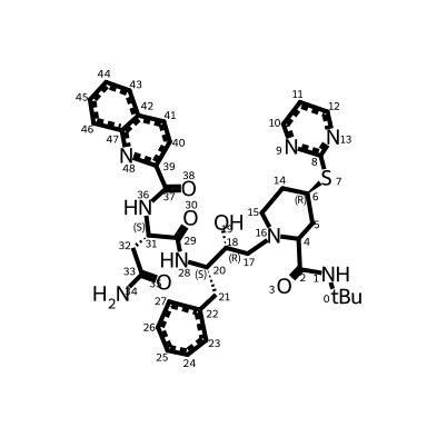 CC(C)(C)NC(=O)C1C[C@H](Sc2ncccn2)CCN1C[C@@H](O)[C@H](Cc1ccccc1)NC(=O)[C@H](CC(N)=O)NC(=O)c1ccc2ccccc2n1